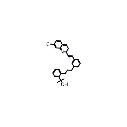 CC(C)(O)c1ccccc1CCCc1cccc(/C=C/C2CC=c3ccc(Cl)cc3=N2)c1